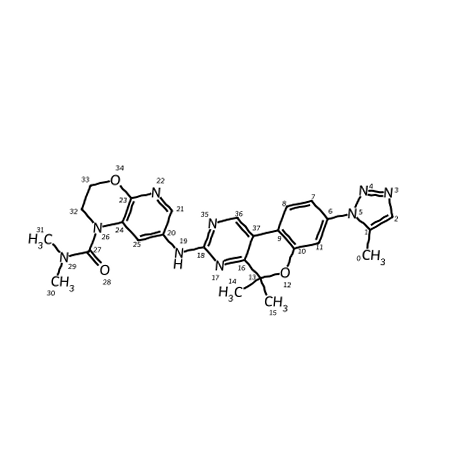 Cc1cnnn1-c1ccc2c(c1)OC(C)(C)c1nc(Nc3cnc4c(c3)N(C(=O)N(C)C)CCO4)ncc1-2